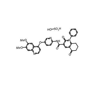 COc1cc2nccc(Oc3ccc(NC(=O)c4cc5c(n(-c6ccccc6)c4=O)CCCC5=O)nc3)c2cc1OC.O=S(=O)(O)O